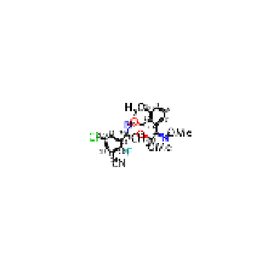 CO/N=C(/C(=O)OC)c1cccc(C)c1CO/N=C(\C)c1cc(Cl)cc(C#N)c1F